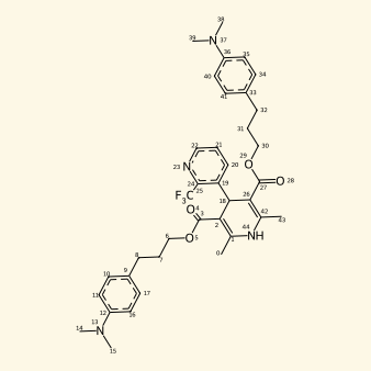 CC1=C(C(=O)OCCCc2ccc(N(C)C)cc2)C(c2cccnc2C(F)(F)F)C(C(=O)OCCCc2ccc(N(C)C)cc2)=C(C)N1